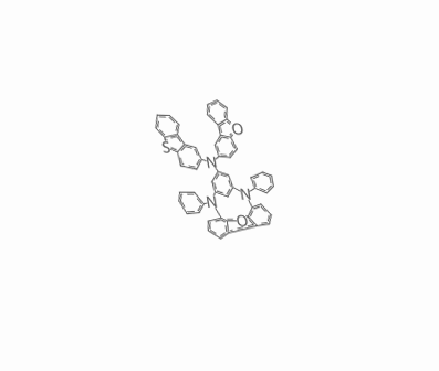 c1ccc(N2c3cc(N(c4ccc5oc6ccccc6c5c4)c4ccc5sc6ccccc6c5c4)cc(c3)N(c3ccccc3)c3cccc4c3oc3c2cccc34)cc1